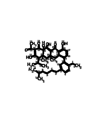 CCc1ccc(CCCCC(C)C)cc1-c1ccc(O)c2c1C[C@]1(C)C[C@]3(C)C(C(C)C)C(O)=C(C(C)=O)C(=O)[C@]3(O)C(O)=C1C2=O